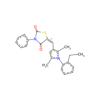 CCc1ccccc1-n1c(C)cc(/C=C2/SC(=O)N(c3ccccc3)C2=O)c1C